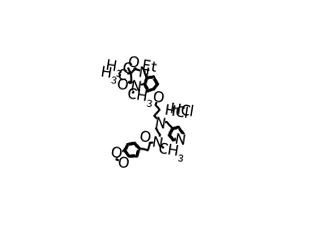 CCN1C(=O)C(C)(C)C(=O)N(C)c2cc(OCCCN(CCN(C)C(=O)Cc3ccc4c(c3)OCO4)Cc3ccncc3)ccc21.Cl.Cl